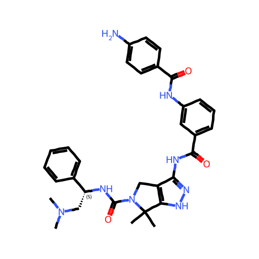 CN(C)C[C@@H](NC(=O)N1Cc2c(NC(=O)c3cccc(NC(=O)c4ccc(N)cc4)c3)n[nH]c2C1(C)C)c1ccccc1